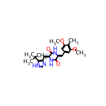 COc1cc(/C=c2\[nH]c(=O)/c(=C/c3nc[nH]c3C(C)(C)C)[nH]c2=O)cc(OC)c1C